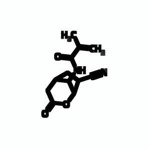 C=C(C)C(=O)NC1C2CC(=O)OC1C(C#N)C2